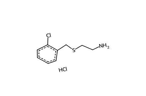 Cl.NCCSCc1ccccc1Cl